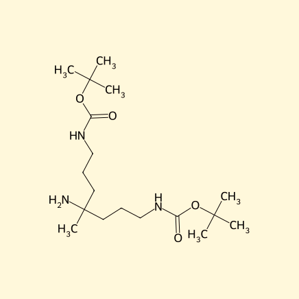 CC(N)(CCCNC(=O)OC(C)(C)C)CCCNC(=O)OC(C)(C)C